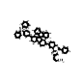 C/C=C\c1cn2c(-c3ccccc3)nc3ccc(-c4ccc5c(c4)C4(C6=C5CCC(c5ccc(P(=O)(c7ccccc7)c7ccccc7)cc5)=C6)c5ccccc5-c5ccccc54)cc3c2n1